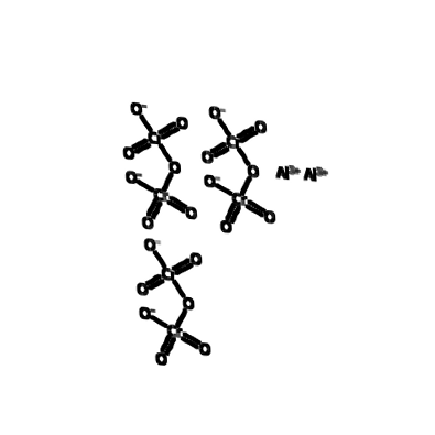 [Al+3].[Al+3].[O]=[Cr](=[O])([O-])[O][Cr](=[O])(=[O])[O-].[O]=[Cr](=[O])([O-])[O][Cr](=[O])(=[O])[O-].[O]=[Cr](=[O])([O-])[O][Cr](=[O])(=[O])[O-]